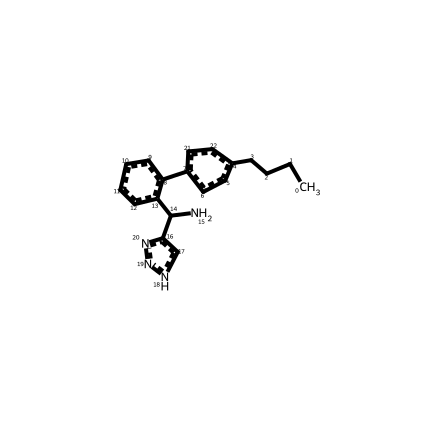 CCCCc1ccc(-c2ccccc2C(N)c2c[nH]nn2)cc1